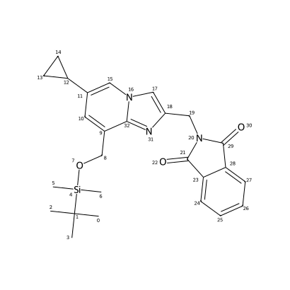 CC(C)(C)[Si](C)(C)OCc1cc(C2CC2)cn2cc(CN3C(=O)c4ccccc4C3=O)nc12